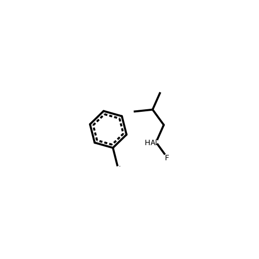 CC(C)[CH2][AlH][F].[CH2]c1ccccc1